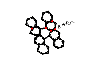 [Br-].[Br-].[Ru+2].c1ccc(P(c2ccccc2)c2ccc3ccccc3c2-c2c(P(c3ccccc3)c3ccccc3)ccc3ccccc23)cc1